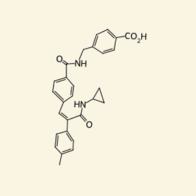 Cc1ccc(/C(=C/c2ccc(C(=O)NCc3ccc(C(=O)O)cc3)cc2)C(=O)NC2CC2)cc1